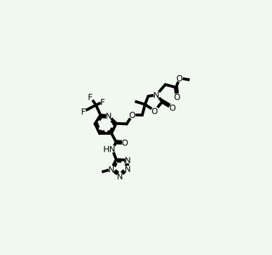 COC(=O)CN1CC(C)(COCc2nc(C(F)(F)F)ccc2C(=O)Nc2nnnn2C)OC1=O